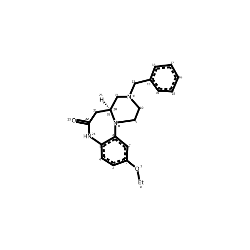 CCOc1ccc2c(c1)N1CCN(Cc3ccccc3)C[C@@H]1CC(=O)N2